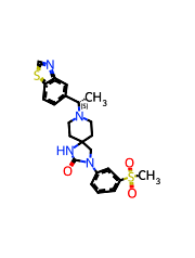 C[C@@H](c1ccc2scnc2c1)N1CCC2(CC1)CN(c1cccc(S(C)(=O)=O)c1)C(=O)N2